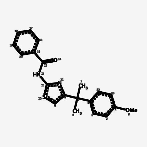 COc1ccc(C(C)(C)c2csc(NC(=O)c3ccccc3)n2)cc1